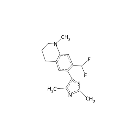 Cc1nc(C)c(-c2cc3c(cc2C(F)F)N(C)CCC3)s1